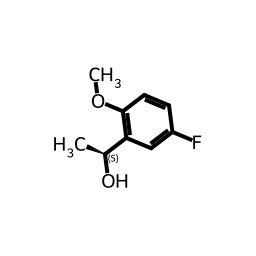 COc1ccc(F)cc1[C@H](C)O